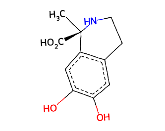 C[C@]1(C(=O)O)NCCc2cc(O)c(O)cc21